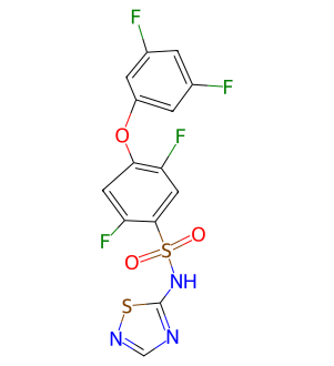 O=S(=O)(Nc1ncns1)c1cc(F)c(Oc2cc(F)cc(F)c2)cc1F